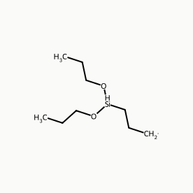 [CH2]CC[SiH](OCCC)OCCC